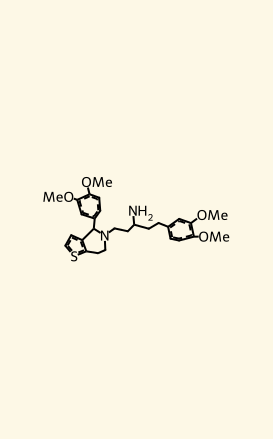 COc1ccc(CCC(N)CCN2CCc3sccc3C2c2ccc(OC)c(OC)c2)cc1OC